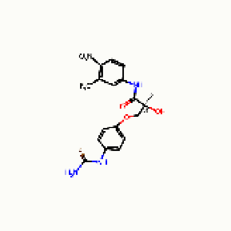 C[C@](O)(COc1ccc(NC(N)=S)cc1)C(=O)Nc1ccc([N+](=O)[O-])c(C(F)(F)F)c1